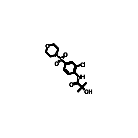 CC(C)(O)C(=O)Nc1ccc(S(=O)(=O)N2CCOCC2)cc1Cl